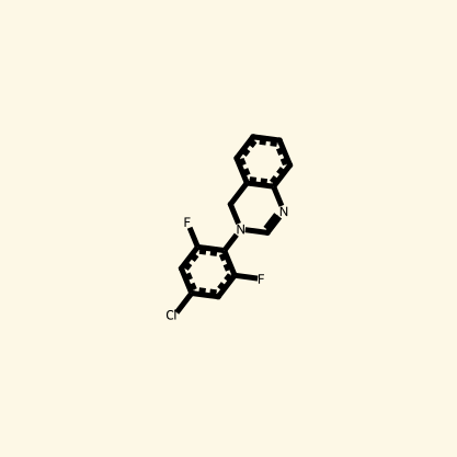 Fc1cc(Cl)cc(F)c1N1C=Nc2ccccc2C1